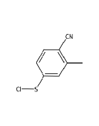 Cc1cc(SCl)ccc1C#N